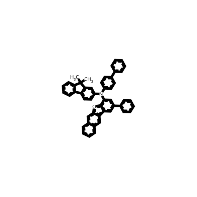 CC1(C)c2ccccc2-c2ccc(N(c3ccc(-c4ccccc4)cc3)c3cc(-c4ccccc4)cc4c3oc3cc5ccccc5cc34)cc21